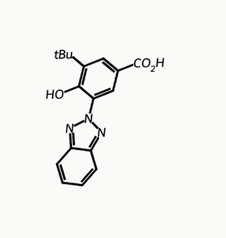 CC(C)(C)c1cc(C(=O)O)cc(-n2nc3ccccc3n2)c1O